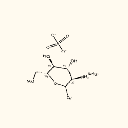 N[C@H]1C(O)O[C@H](CO)[C@@H](O)[C@@H]1O.O=S(=O)([O-])[O-].[Na+].[Na+]